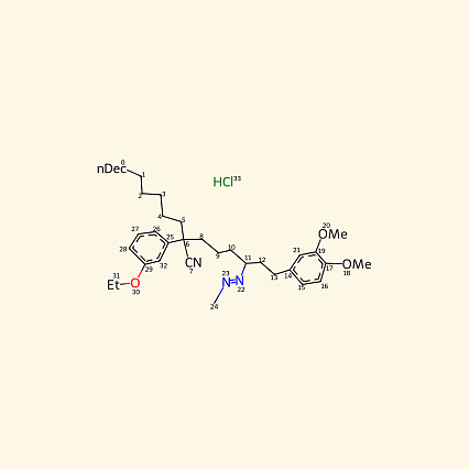 CCCCCCCCCCCCCCCC(C#N)(CCCC(CCc1ccc(OC)c(OC)c1)N=NC)c1cccc(OCC)c1.Cl